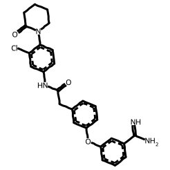 N=C(N)c1cccc(Oc2cccc(CC(=O)Nc3ccc(N4CCCCC4=O)c(Cl)c3)c2)c1